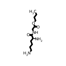 CCCCOC(=O)CNC(=O)[C@@H](N)CCCCN